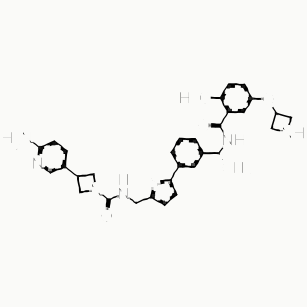 Cc1ccc(OC2CNC2)cc1C(=O)N[C@H](C)c1cccc(-c2ccc(CNC(=O)N3CC(c4ccc(N)nc4)C3)s2)c1